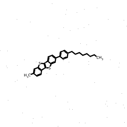 CCCCCCCCc1ccc(-c2ccc3c(c2)sc2c4ccc(C)cc4sc32)cc1